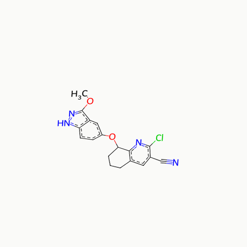 COc1n[nH]c2ccc(OC3CCCc4cc(C#N)c(Cl)nc43)cc12